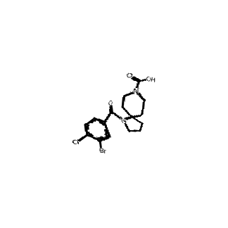 O=C(O)N1CCC2(CCCN2C(=O)c2ccc(Cl)c(Br)c2)CC1